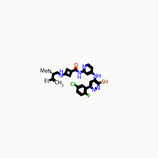 C=C(CC)[C@@H](CNC1CC(C(=O)Nc2cc(Nc3cc(-c4cc(Cl)ccc4F)nnc3S)ccn2)C1)NC